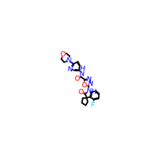 O=C(Nc1ccc(N2CCOCC2)nc1)c1nnc(NC(=O)C2(c3ccccc3F)CCCC2)o1